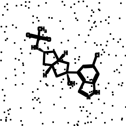 CS(=O)(=O)N[C@@H]1C[C@@H]2C[C@@](O)(c3cc(Cl)cc4[nH]ncc34)C[C@@H]2C1